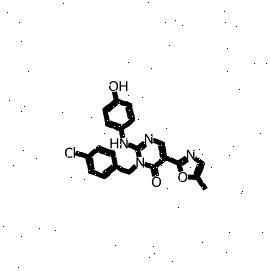 Cc1cnc(-c2cnc(Nc3ccc(O)cc3)n(Cc3ccc(Cl)cc3)c2=O)o1